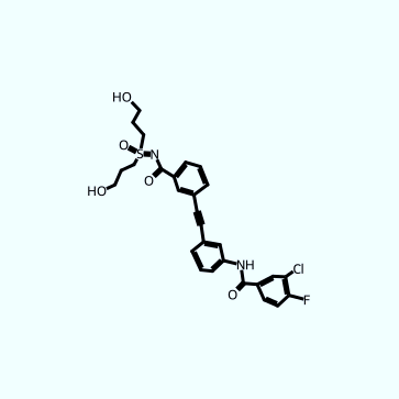 O=C(N=S(=O)(CCCO)CCCO)c1cccc(C#Cc2cccc(NC(=O)c3ccc(F)c(Cl)c3)c2)c1